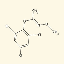 CON=C(C)Oc1c(Cl)cc(Cl)cc1Cl